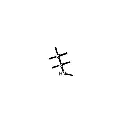 CN[Si](C)(C)[Si](C)(C)C